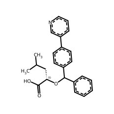 CC(C)C[C@H](OC(c1ccccc1)c1ccc(-c2cccnc2)cc1)C(=O)O